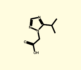 CC(C)c1ncnn1CC(=O)O